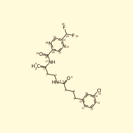 C=C(CCNC(=O)CCCc1cccc(Cl)c1)NC(=O)c1cnc(C(F)F)cn1